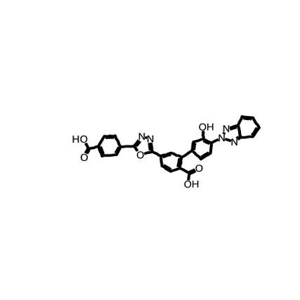 O=C(O)c1ccc(-c2nnc(-c3ccc(C(=O)O)c(-c4ccc(-n5nc6ccccc6n5)c(O)c4)c3)o2)cc1